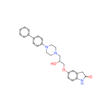 O=C1Cc2cc(OCC(O)CN3CCN(c4ccc(-c5ccccc5)cc4)CC3)ccc2N1